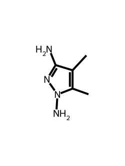 Cc1c(N)nn(N)c1C